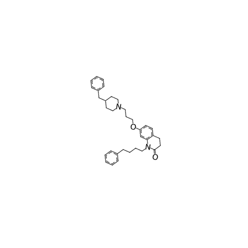 O=C1CCc2ccc(OCCCN3CCC(Cc4ccccc4)CC3)cc2N1CCCCc1ccccc1